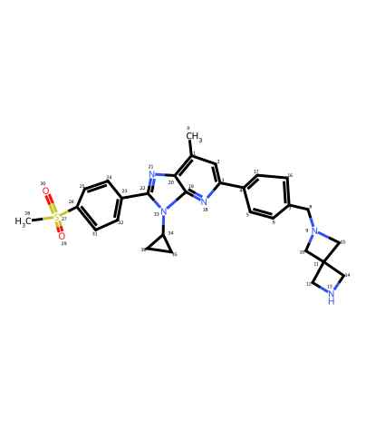 Cc1cc(-c2ccc(CN3CC4(CNC4)C3)cc2)nc2c1nc(-c1ccc(S(C)(=O)=O)cc1)n2C1CC1